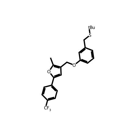 Cc1oc(-c2ccc(C(F)(F)F)cc2)cc1COc1cccc(CSC(C)(C)C)c1